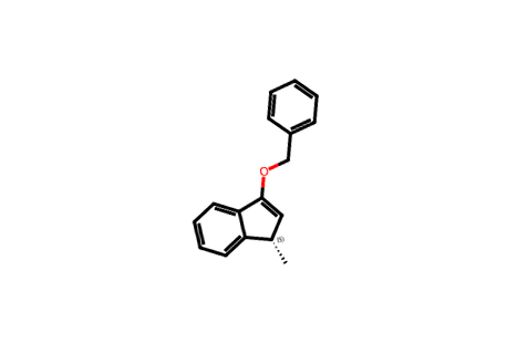 C[C@H]1C=C(OCc2ccccc2)c2ccccc21